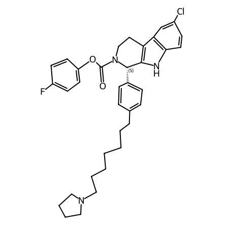 O=C(Oc1ccc(F)cc1)N1CCc2c([nH]c3ccc(Cl)cc23)[C@@H]1c1ccc(CCCCCCCN2CCCC2)cc1